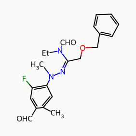 CCN(C=O)/C(COCc1ccccc1)=N\N(C)c1cc(C)c(C=O)cc1F